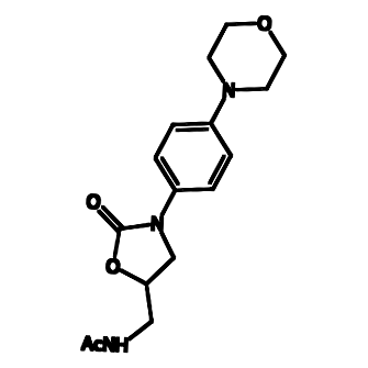 CC(=O)NCC1CN(c2ccc(N3CCOCC3)cc2)C(=O)O1